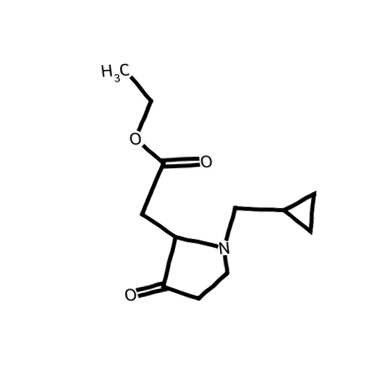 CCOC(=O)CC1C(=O)CCN1CC1CC1